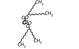 CCCCCCCCCCC(CCCCCCCC)COC(=O)c1cccc(C(=O)OCC(CCCCCCCC)CCCCCCCCCC)n1